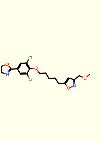 COCc1cc(CCCCCOc2c(Cl)cc(C3=NCCO3)cc2Cl)on1